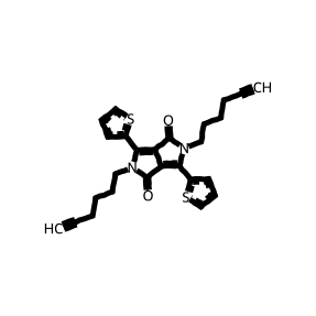 C#CCCCCN1C(=O)C2=C(c3cccs3)N(CCCCC#C)C(=O)C2=C1c1cccs1